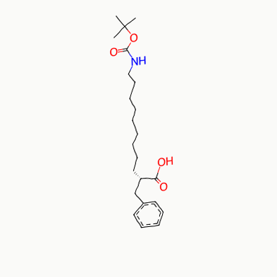 CC(C)(C)OC(=O)NCCCCCCCCC[C@@H](Cc1ccccc1)C(=O)O